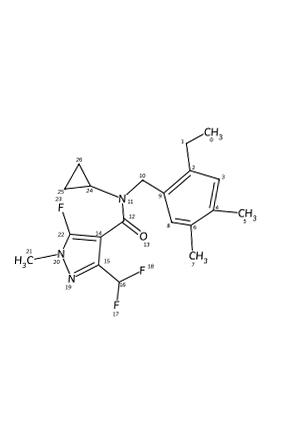 CCc1cc(C)c(C)cc1CN(C(=O)c1c(C(F)F)nn(C)c1F)C1CC1